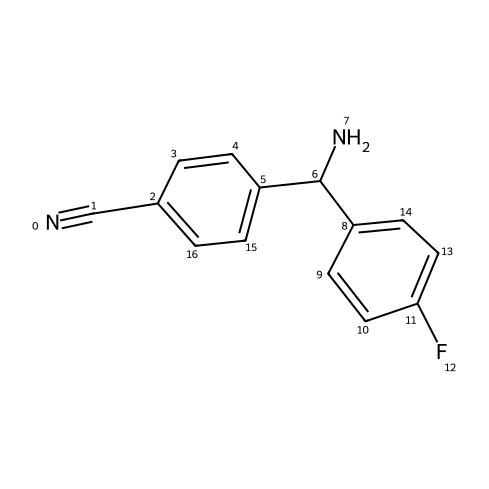 N#Cc1ccc(C(N)c2ccc(F)cc2)cc1